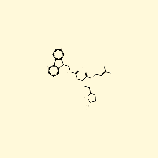 CC(C)=CCOC(=O)[C@H](CCC1OC[C@@H](C(=O)O)O1)NC(=O)OCC1c2ccccc2-c2ccccc21